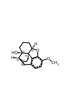 COc1ccc2c3c1O[C@H]1CCC[C@@]4(O)[C@@H](C2)NCC[C@]314